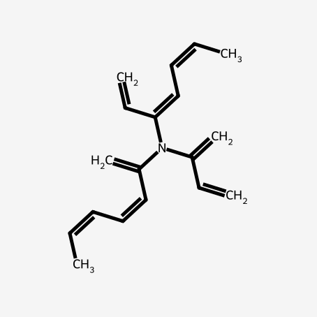 C=CC(=C)N(C(=C)/C=C\C=C/C)/C(C=C)=C/C=C\C